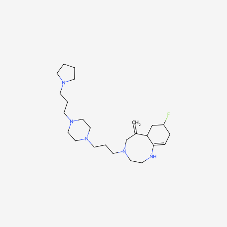 C=C1CN(CCCN2CCN(CCCN3CCCC3)CC2)CCNC2=CCC(F)CC12